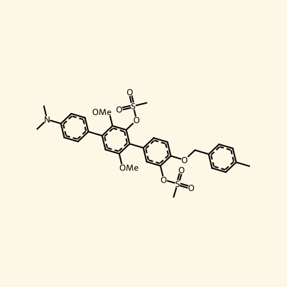 COc1cc(-c2ccc(N(C)C)cc2)c(OC)c(OS(C)(=O)=O)c1-c1ccc(OCc2ccc(C)cc2)c(OS(C)(=O)=O)c1